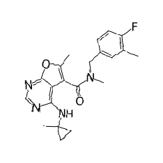 Cc1cc(CN(C)C(=O)c2c(C)oc3ncnc(NC4(C)CC4)c23)ccc1F